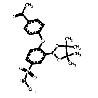 CNS(=O)(=O)c1ccc(Oc2ccc(C(C)=O)cc2)c(B2OC(C)(C)C(C)(C)O2)c1